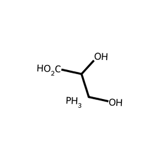 O=C(O)C(O)CO.P